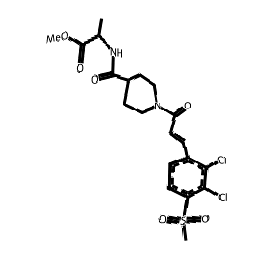 COC(=O)C(C)NC(=O)C1CCN(C(=O)C=Cc2ccc(S(C)(=O)=O)c(Cl)c2Cl)CC1